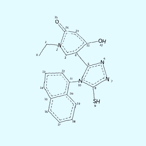 CCn1cc(-c2nnc(S)n2-c2cccc3ccccc23)c(O)cc1=O